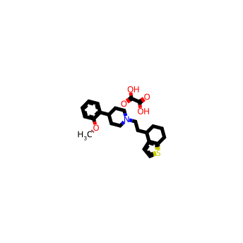 COc1ccccc1C1CCN(CCC2CCCc3sccc32)CC1.O=C(O)C(=O)O